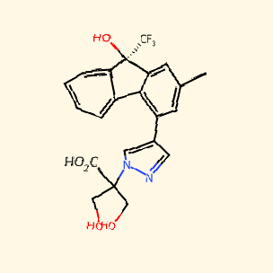 Cc1cc(-c2cnn(C(CO)(CO)C(=O)O)c2)c2c(c1)[C@@](O)(C(F)(F)F)c1ccccc1-2